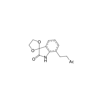 CC(=O)CCc1cccc2c1NC(=O)C21OCCO1